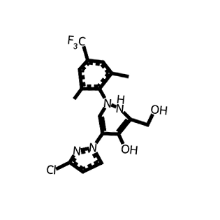 Cc1cc(C(F)(F)F)cc(C)c1N1C=C(n2ccc(Cl)n2)C(O)=C(CO)N1